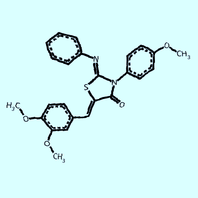 COc1ccc(N2C(=O)C(=Cc3ccc(OC)c(OC)c3)SC2=Nc2ccccc2)cc1